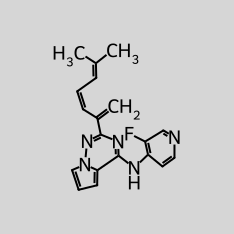 C=C(/C=C\C=C(C)C)c1nc(Nc2ccncc2F)c2cccn2n1